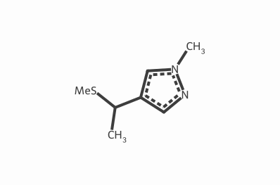 CSC(C)c1cnn(C)c1